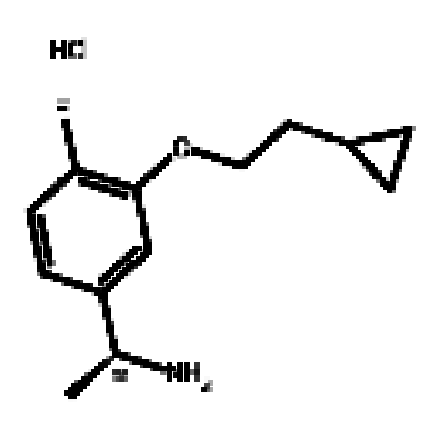 C[C@H](N)c1ccc(F)c(OCCC2CC2)c1.Cl